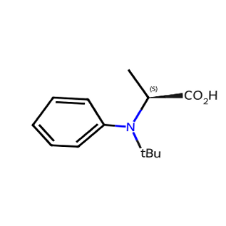 C[C@@H](C(=O)O)N(c1ccccc1)C(C)(C)C